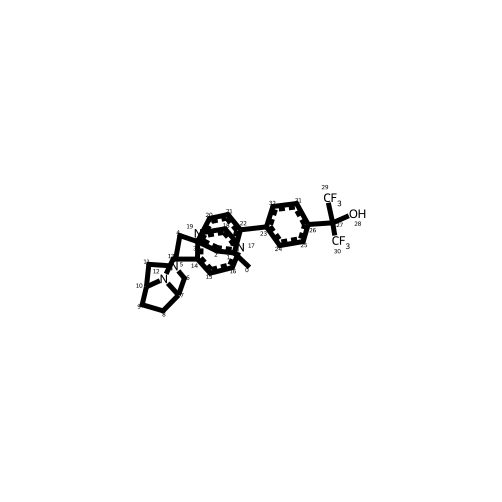 Cc1cc(CN2CC3CCC(C2)N3Cc2ccncn2)ccc1-c1ccc(C(O)(C(F)(F)F)C(F)(F)F)cc1